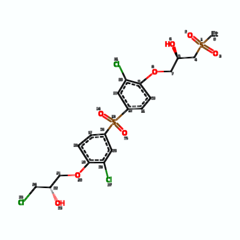 CCS(=O)(=O)C[C@H](O)COc1ccc(S(=O)(=O)c2ccc(OC[C@H](O)CCl)c(Cl)c2)cc1Cl